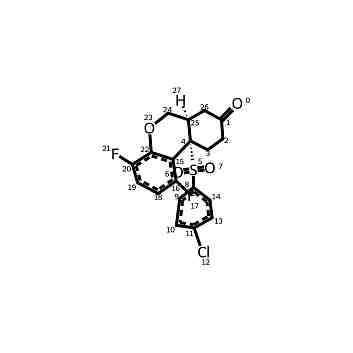 O=C1CC[C@@]2(S(=O)(=O)c3ccc(Cl)cc3)c3c(F)ccc(F)c3OC[C@H]2C1